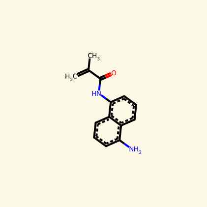 C=C(C)C(=O)Nc1cccc2c(N)cccc12